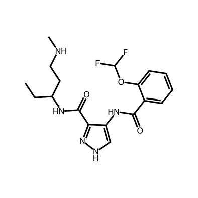 CCC(CCNC)NC(=O)c1n[nH]cc1NC(=O)c1ccccc1OC(F)F